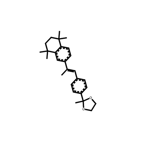 C/C(=C\c1ccc(C2(C)OCCO2)cc1)c1ccc2c(c1)C(C)(C)CCC2(C)C